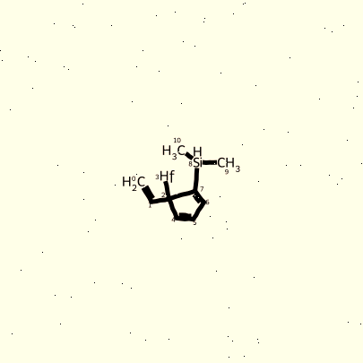 C=C[C]1([Hf])C=CC=C1[SiH](C)C